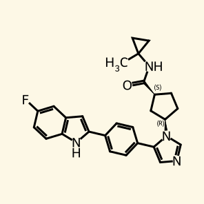 CC1(NC(=O)[C@H]2CC[C@@H](n3cncc3-c3ccc(-c4cc5cc(F)ccc5[nH]4)cc3)C2)CC1